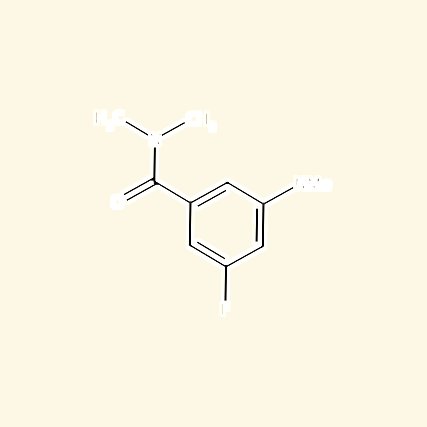 CNc1cc(F)cc(C(=O)N(C)C)c1